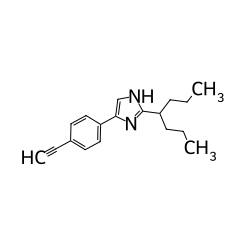 C#Cc1ccc(-c2c[nH]c(C(CCC)CCC)n2)cc1